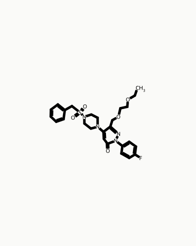 CCOCCOCc1nn(-c2ccc(F)cc2)c(=O)cc1N1CCN(S(=O)(=O)Cc2ccccc2)CC1